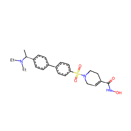 CCN(CC)C(C)c1ccc(-c2ccc(S(=O)(=O)N3CC=C(C(=O)NO)CC3)cc2)cc1